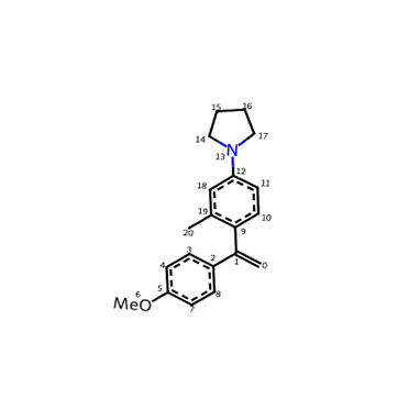 C=C(c1ccc(OC)cc1)c1ccc(N2CCCC2)cc1C